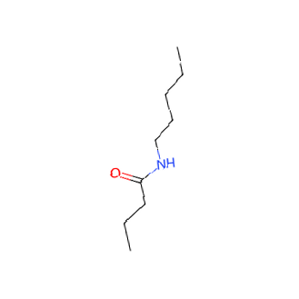 CCCCCNC(=O)CCC